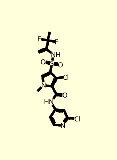 C=C(NS(=O)(=O)c1cn(C)c(C(=O)Nc2ccnc(Cl)c2)c1Cl)C(C)(F)F